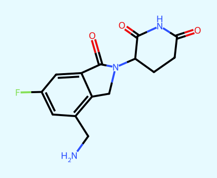 NCc1cc(F)cc2c1CN(C1CCC(=O)NC1=O)C2=O